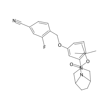 CC(C)(C)OC(=O)N1C2CCC1CN(c1cccc(OCc3ccc(C#N)cc3F)c1)C2